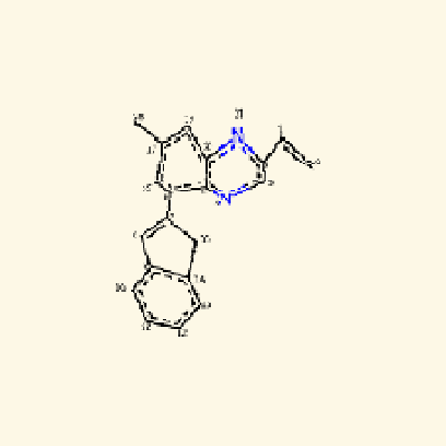 C=Cc1cnc2c(C3=Cc4ccccc4C3)cc(C)cc2n1